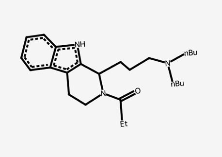 CCCCN(CCCC)CCCC1c2[nH]c3ccccc3c2CCN1C(=O)CC